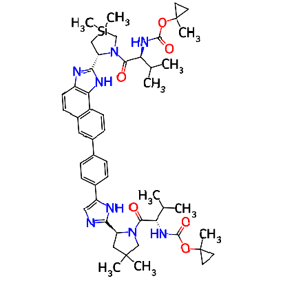 CC(C)[C@H](NC(=O)OC1(C)CC1)C(=O)N1CC(C)(C)C[C@H]1c1ncc(-c2ccc(-c3ccc4c(ccc5nc([C@@H]6C[Si](C)(C)CN6C(=O)[C@@H](NC(=O)OC6(C)CC6)C(C)C)[nH]c54)c3)cc2)[nH]1